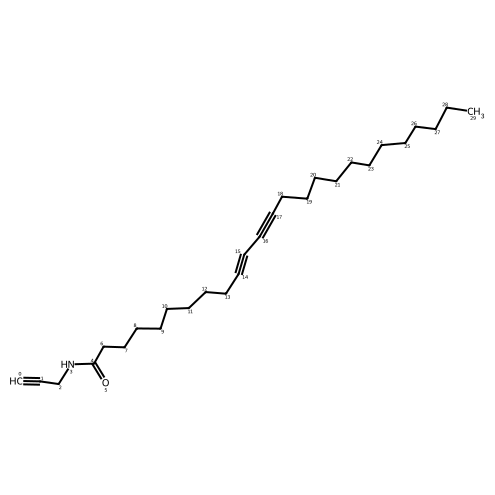 C#CCNC(=O)CCCCCCCCC#CC#CCCCCCCCCCCCC